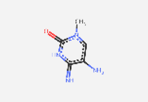 Cn1cc(N)c(=N)[nH]c1=O